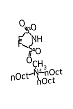 CCCCCCCC[N+](C)(CCCCCCCC)CCCCCCCC.O=S(=O)(F)NS(=O)(=O)F